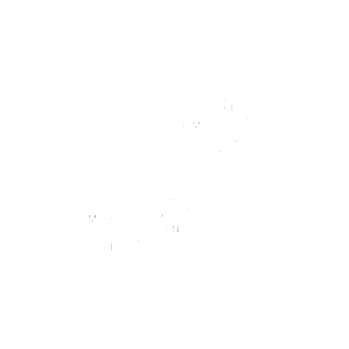 CCCOc1c(OC)ccc(-c2cccc(C(=COS(=O)(=O)C(F)(F)F)C(=O)OC)c2)c1C#N